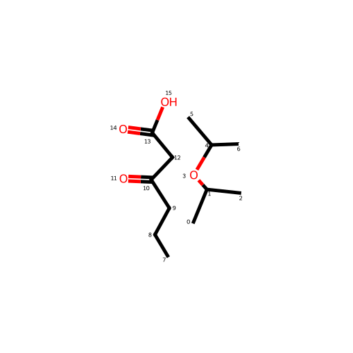 CC(C)OC(C)C.CCCC(=O)CC(=O)O